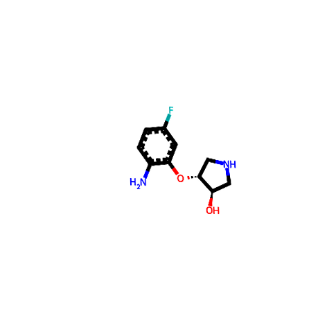 Nc1ccc(F)cc1O[C@@H]1CNC[C@H]1O